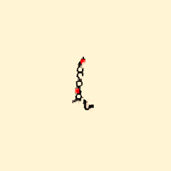 COc1cc2nn(C3CCC(N4CCC5(CCN(C(=O)OC(C)(C)C)CC5)CC4)CC3)cc2cc1NC(=O)c1cccc(C(F)(F)F)n1